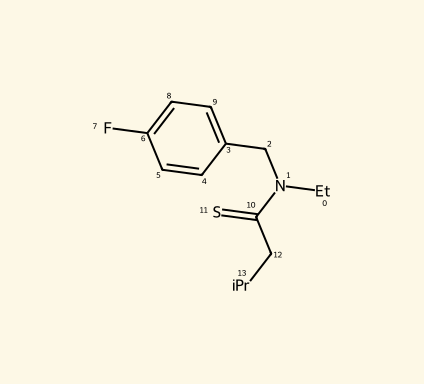 [CH2]CN(Cc1ccc(F)cc1)C(=S)CC(C)C